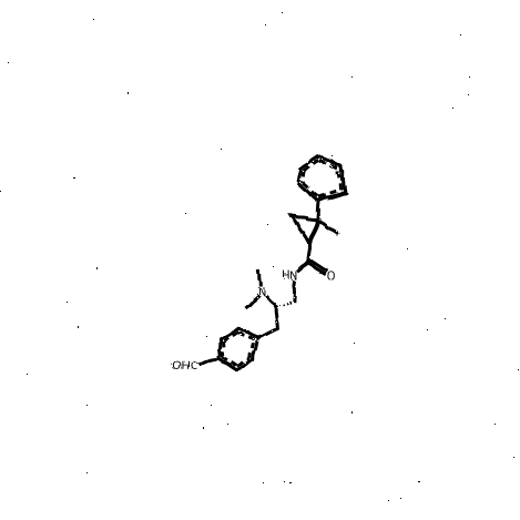 CN(C)[C@H](CNC(=O)C1CC1(C)c1ccccc1)Cc1ccc([C]=O)cc1